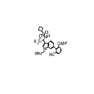 COc1cccc(C#N)c1-c1ccc2c(C(NS(=O)(=O)C3CCC3)C(F)(F)F)cn(CC(C)(C)C)c2c1